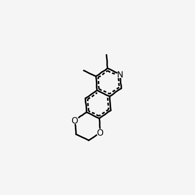 Cc1ncc2cc3c(cc2c1C)OCCO3